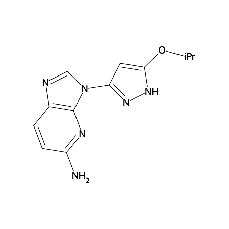 CC(C)Oc1cc(-n2cnc3ccc(N)nc32)n[nH]1